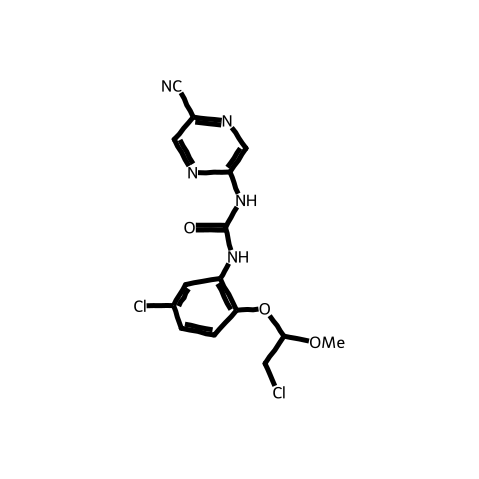 COC(CCl)Oc1ccc(Cl)cc1NC(=O)Nc1cnc(C#N)cn1